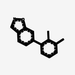 Cc1cccc(-c2ccc3cnoc3c2)c1C